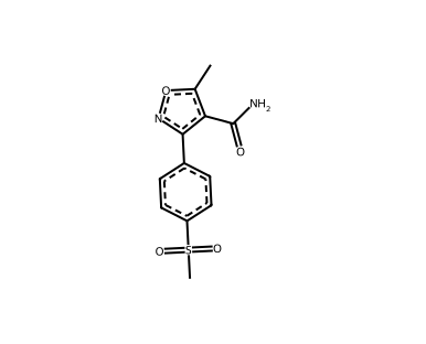 Cc1onc(-c2ccc(S(C)(=O)=O)cc2)c1C(N)=O